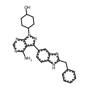 Nc1ncnc2c1c(-c1ccc3[nH]c(Cc4ccccc4)nc3c1)nn2C1CCC(O)CC1